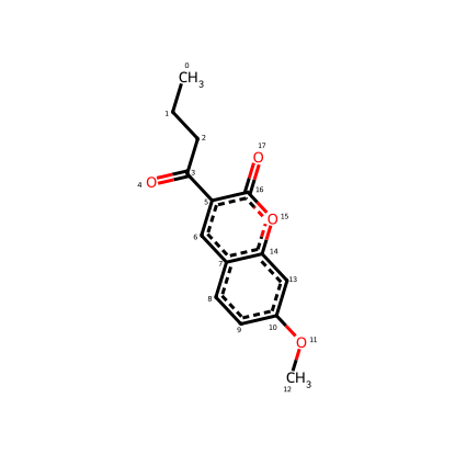 CCCC(=O)c1cc2ccc(OC)cc2oc1=O